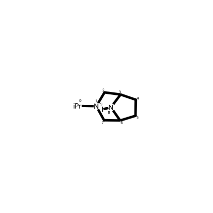 CC(C)N1CC2CCC(C1)N2I